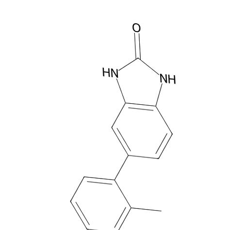 Cc1ccccc1-c1ccc2[nH]c(=O)[nH]c2c1